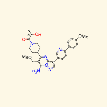 COCc1c(C2CCN(C(=O)[C@@H](C)O)CC2)nc2c(-c3ccc(-c4ccc(OC)cc4)nc3)cnn2c1N